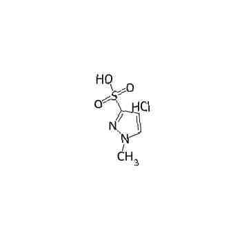 Cl.Cn1ccc(S(=O)(=O)O)n1